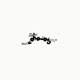 COC1CCN(c2cc3nc(-c4ccc(C#Cc5ccc(C(=O)N6CCCC[C@H]6C(=O)O)cc5Cl)cc4)cc(C(O)NN)c3cn2)C1